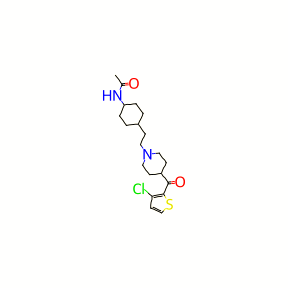 CC(=O)NC1CCC(CCN2CCC(C(=O)c3sccc3Cl)CC2)CC1